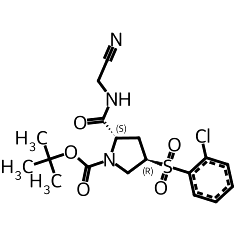 CC(C)(C)OC(=O)N1C[C@H](S(=O)(=O)c2ccccc2Cl)C[C@H]1C(=O)NCC#N